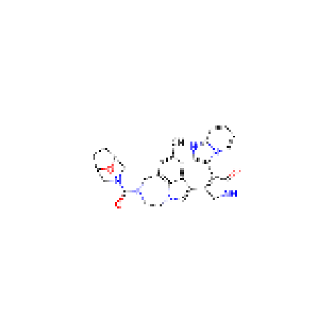 N#Cc1cc2c3c(c1)c(C1=C(c4cnc5ccccn45)C(=O)NC1)cn3CCN(C(=O)N1CC3CCC(C1)O3)C2